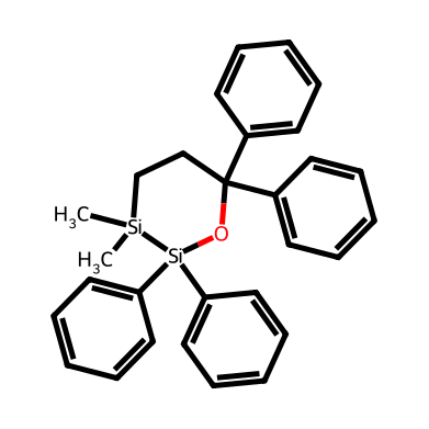 C[Si]1(C)CCC(c2ccccc2)(c2ccccc2)O[Si]1(c1ccccc1)c1ccccc1